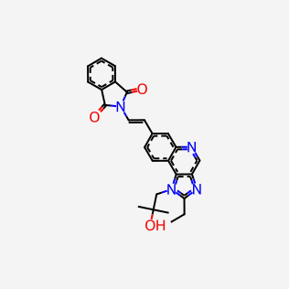 CCc1nc2cnc3cc(/C=C/N4C(=O)c5ccccc5C4=O)ccc3c2n1CC(C)(C)O